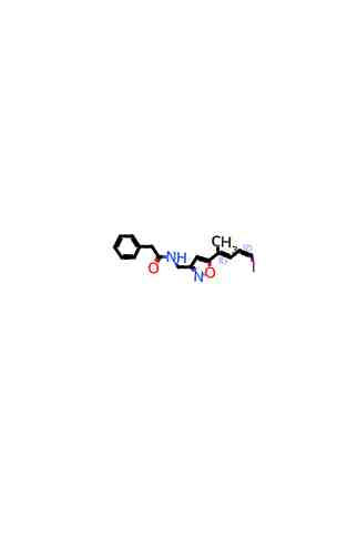 C/C(=C\C=C/I)c1cc(CNC(=O)Cc2ccccc2)no1